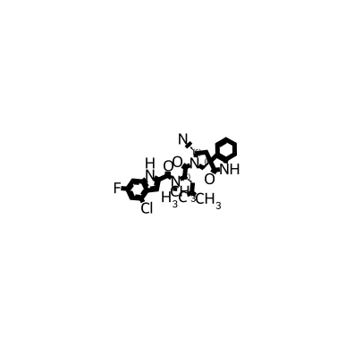 CC(C)C[C@@H](C(=O)N1C[C@]2(C[C@H]1C#N)C(=O)NC1=C2C=CCC1)N(C)C(=O)c1cc2c(Cl)cc(F)cc2[nH]1